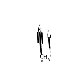 CC#N.[Li][I]